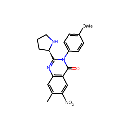 COc1ccc(-n2c([C@H]3CCCN3)nc3cc(C)c([N+](=O)[O-])cc3c2=O)cc1